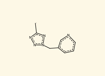 [CH2]c1nnn(Cc2cccnc2)n1